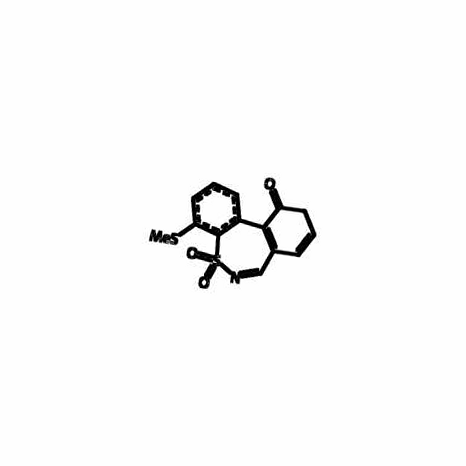 CSc1cccc2c1S(=O)(=O)N=CC1=C2C(=O)CC=C1